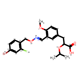 COc1ccc(CC(OC(C)C)C(=O)O)cc1/C=N/OCc1ccc(Br)cc1F